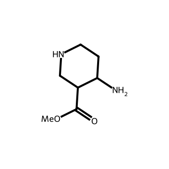 COC(=O)C1CNCCC1N